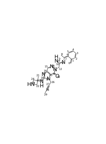 C=c1cccc/c1=C(C)/N=C(\N)Cn1ncc2nc(NC3(C)CNC3)n(CC#CC)c2c1=O